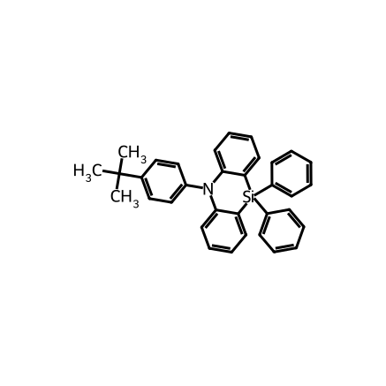 CC(C)(C)c1ccc(N2c3ccccc3[Si](c3ccccc3)(c3ccccc3)c3ccccc32)cc1